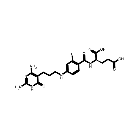 Nc1nc(N)c(CCCNc2ccc(C(=O)N[C@H](CCC(=O)O)C(=O)O)c(F)c2)c(=O)[nH]1